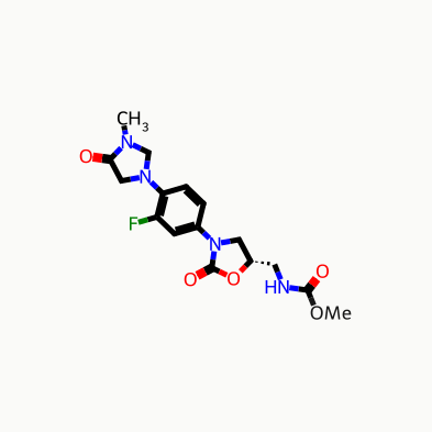 COC(=O)NC[C@H]1CN(c2ccc(N3CC(=O)N(C)C3)c(F)c2)C(=O)O1